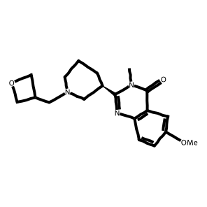 COc1ccc2nc([C@@H]3CCCN(CC4COC4)C3)n(C)c(=O)c2c1